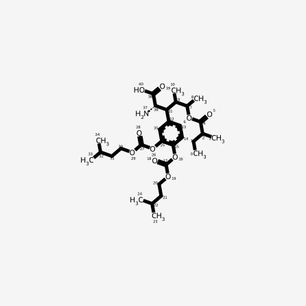 CCC(C)C(=O)OC(C)C(C)C(c1ccc(OC(=O)OCCC(C)C)c(OC(=O)OCCC(C)C)c1)[C@H](N)C(=O)O